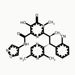 Cc1cnc([C@@H](c2ccccc2C#N)[C@H](C)c2nc(C(=O)Nc3cnoc3)c(O)c(=O)n2C)c(C)n1